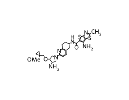 COC1(COC2CN(c3ccc4c(n3)CCC(NC(=O)c3sc5nc(C)sc5c3N)C4)CC2N)CC1